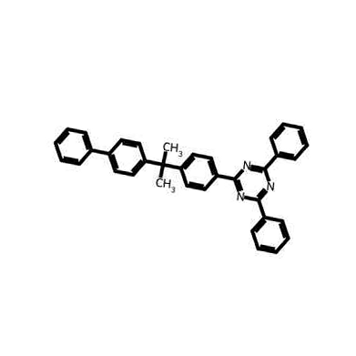 CC(C)(c1ccc(-c2ccccc2)cc1)c1ccc(-c2nc(-c3ccccc3)nc(-c3ccccc3)n2)cc1